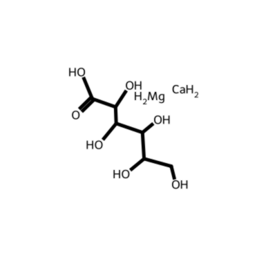 O=C(O)C(O)C(O)C(O)C(O)CO.[CaH2].[MgH2]